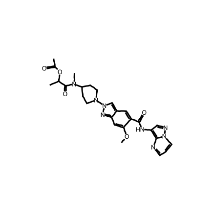 COc1cc2nn(N3CCC(N(C)C(=O)C(C)OC(C)=O)CC3)cc2cc1C(=O)Nc1cnn2cccnc12